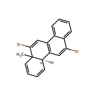 CC12C=CC=C[C@@H]1c1cc(Br)c3ccccc3c1C=C2Br